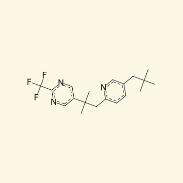 CC(C)(C)Cc1ccc(CC(C)(C)c2cnc(C(F)(F)F)nc2)nc1